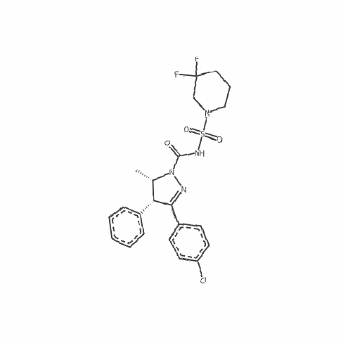 C[C@H]1[C@@H](c2ccccc2)C(c2ccc(Cl)cc2)=NN1C(=O)NS(=O)(=O)N1CCCC(F)(F)C1